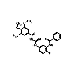 COc1cc(C(=O)NC(=N)Nc2ccc(F)c(NC(=O)c3ccccc3)c2)cc(C)c1OC